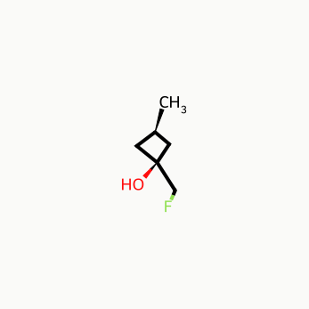 C[C@H]1C[C@](O)(CF)C1